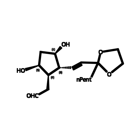 CCCCCC1(C=C[C@@H]2[C@@H](CC=O)[C@@H](O)C[C@H]2O)OCCO1